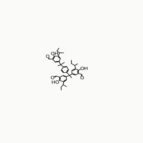 CCC(C)c1cc(C(C)(C)c2ccc(C(C)(c3cc(C=O)c(O)c(C(C)CC)c3)c3cc(C=O)c(O)c(C(C)CC)c3)cc2)cc(C=O)c1O